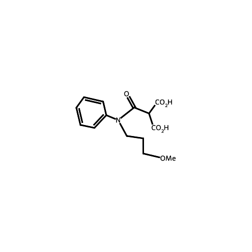 COCCCN(C(=O)C(C(=O)O)C(=O)O)c1ccccc1